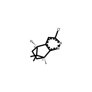 CC1(C)[C@H]2CC[C@]1(C)c1nnc(Cl)cc12